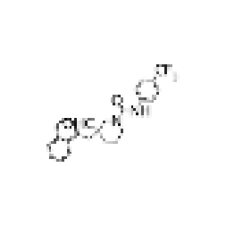 O=CC1(Cc2cccc3ccccc23)CCCN(C(=O)Nc2ccc(C(F)(F)F)cc2)C1